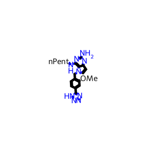 CCCCCNc1nc(N)nc2ccn(Cc3ccc(-c4nnn[nH]4)cc3OC)c12